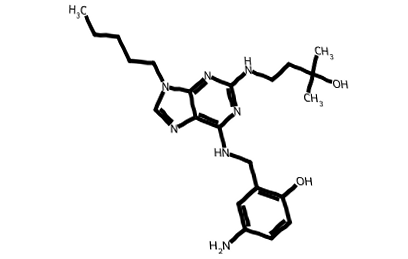 CCCCCn1cnc2c(NCc3cc(N)ccc3O)nc(NCCC(C)(C)O)nc21